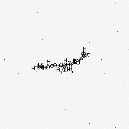 C=C1N[C@H]2[C@H](CS[C@H]2CCCCC(=O)NCCOCCOCCOCCOCCC(NCCCC(=O)Nc2ccc(-n3nnc(C(=O)NCCCN4CCN(C5=Nc6cc(Cl)ccc6Nc6ccccc65)CC4)n3)cc2)=C2C(=O)CC(C)(C)CC2=O)N1